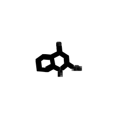 CCCCc1cc(=O)c2ccccc2[nH]1